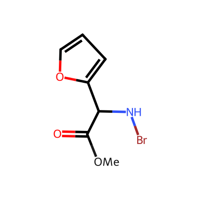 COC(=O)C(NBr)c1ccco1